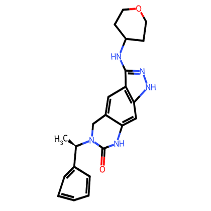 C[C@H](c1ccccc1)N1Cc2cc3c(NC4CCOCC4)n[nH]c3cc2NC1=O